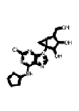 OCC1C(O)C(O)C2(n3cnc4c(NC5CCCC5)nc(Cl)nc43)CC12